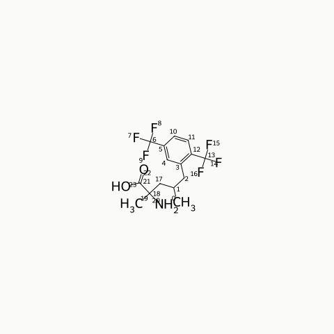 CC(Cc1cc(C(F)(F)F)ccc1C(F)(F)F)CC(C)(N)C(=O)O